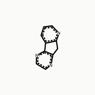 c1cnc2c(c1)-c1nccnc1C2